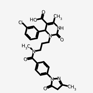 CC1=NN(c2ccc(C(=O)N(C)CCCN3C(=O)NC(C)=C(C(=O)O)C3c3cccc(Cl)c3)cc2)C(=O)C1